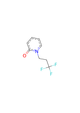 O=c1ccccn1CCC(F)(F)F